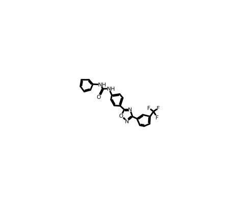 O=C(Nc1ccccc1)Nc1ccc(-c2nc(-c3cccc(C(F)(F)F)c3)no2)cc1